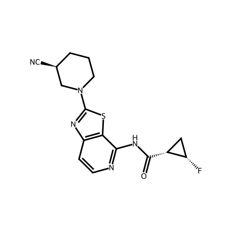 N#C[C@H]1CCCN(c2nc3ccnc(NC(=O)[C@@H]4C[C@@H]4F)c3s2)C1